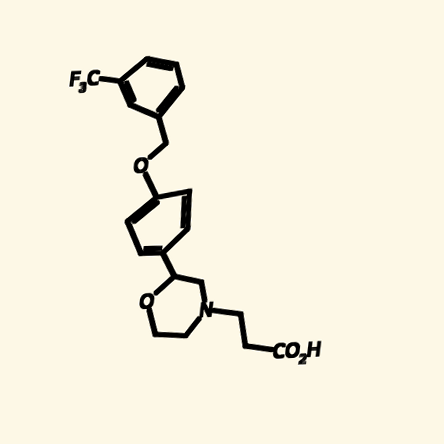 O=C(O)CCN1CCOC(c2ccc(OCc3cccc(C(F)(F)F)c3)cc2)C1